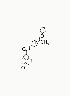 CC(COc1ccccc1)N1CCC(CCC(=O)c2cc3c4c(c2)CCC(=O)N4CCC3)CC1